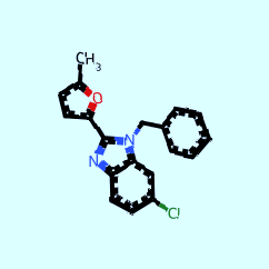 Cc1ccc(-c2nc3ccc(Cl)cc3n2Cc2ccccc2)o1